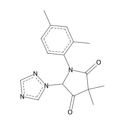 Cc1ccc(N2C(=O)C(C)(C)C(=O)C2n2cncn2)c(C)c1